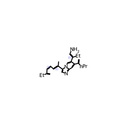 C=C(/C=C\C=C(/C)c1cnc2cc(C(=C)CCC)c(/C(=C/N)CC)cn12)CC